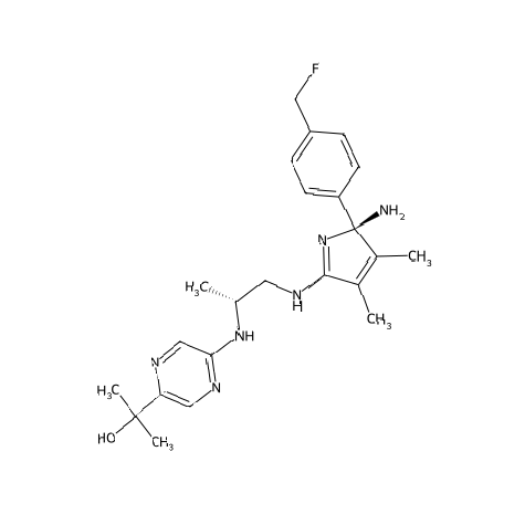 CC1=C(C)[C@@](N)(c2ccc(CF)cc2)N=C1NC[C@@H](C)Nc1cnc(C(C)(C)O)cn1